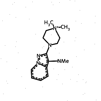 CNc1c(N2CC[N+](C)(C)CC2)nn2ccccc12